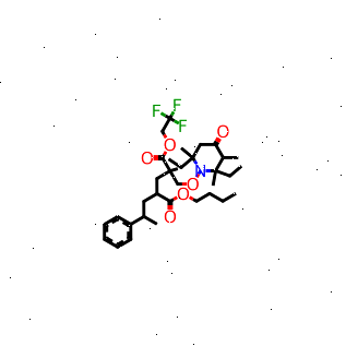 CCCCOC(=O)C(CC(C)c1ccccc1)CC(C)(CON1C(C)(CC)CC(=O)C(C)C1(C)CC)C(=O)OCC(F)(F)F